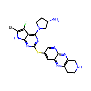 CCc1[nH]c2nc(Sc3cnc4nc5c(nc4c3)CCNC5)nc(N3CC[C@H](N)C3)c2c1Cl